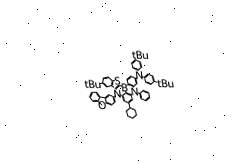 CC(C)(C)c1ccc(N(c2ccc(C(C)(C)C)cc2)c2ccc3c(c2)N(c2ccccc2)c2cc(C4CCCCC4)cc4c2B3c2sc3ccc(C(C)(C)C)cc3c2N4c2ccc3oc4ccccc4c3c2)cc1